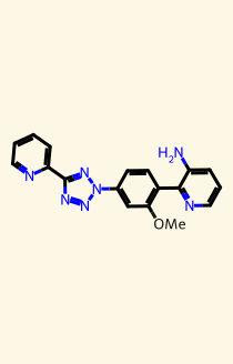 COc1cc(-n2nnc(-c3ccccn3)n2)ccc1-c1ncccc1N